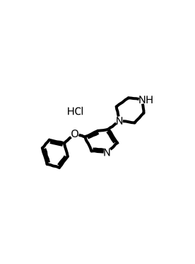 Cl.c1ccc(Oc2cncc(N3CCNCC3)c2)cc1